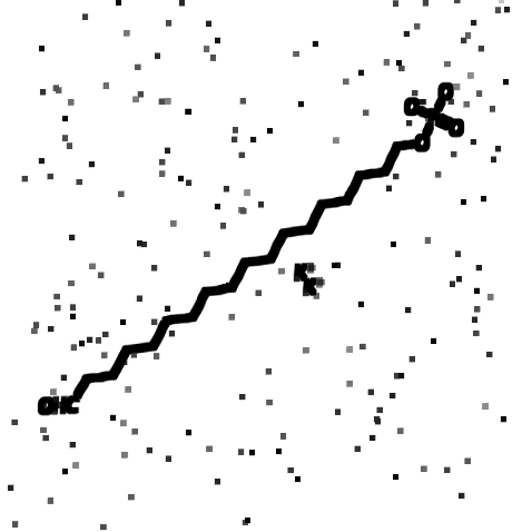 O=CCCCCCCCCCCCCCCCCCOP(=O)([O-])[O-].[K+].[K+]